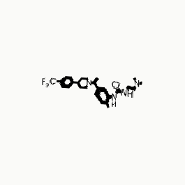 C=C(c1ccc(C)c(NC(=O)NCCN(C)C)c1)N1CCC(c2ccc(C(F)(F)F)cc2)CC1